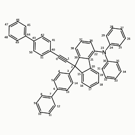 C(#CC1(c2ccc(-c3ccccc3)cc2)c2ccccc2-c2c(N(c3ccccc3)c3ccccc3)cccc21)c1ccc(-c2ccccc2)cc1